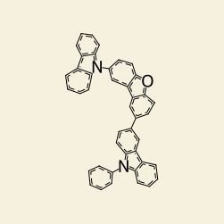 c1ccc(-n2c3ccccc3c3cc(-c4ccc5oc6ccc(-n7c8ccccc8c8ccccc87)cc6c5c4)ccc32)cc1